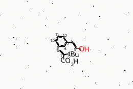 C=C(C(=O)O)C(C)(C)C.OC=Cc1ccccc1